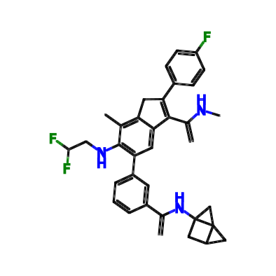 C=C(NC)C1=C(c2ccc(F)cc2)Cc2c1cc(-c1cccc(C(=C)NC34CC5CC53C4)c1)c(NCC(F)F)c2C